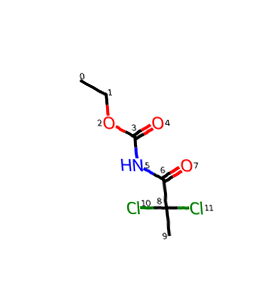 CCOC(=O)NC(=O)C(C)(Cl)Cl